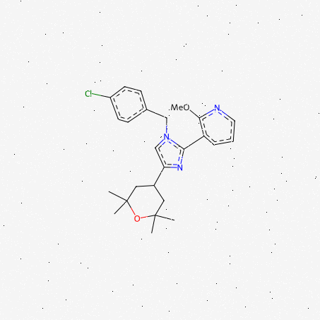 COc1ncccc1-c1nc(C2CC(C)(C)OC(C)(C)C2)cn1Cc1ccc(Cl)cc1